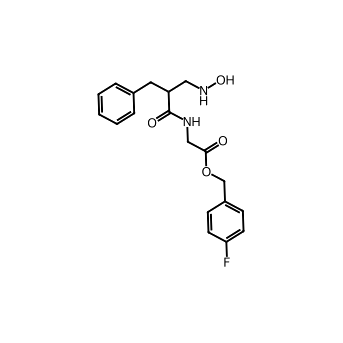 O=C(CNC(=O)C(CNO)Cc1ccccc1)OCc1ccc(F)cc1